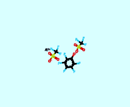 O=S(=O)([O-])C(F)(F)F.O=S(=O)([O-])C(F)(F)F.[Al+3].[O-]c1c(F)c(F)c(F)c(F)c1F